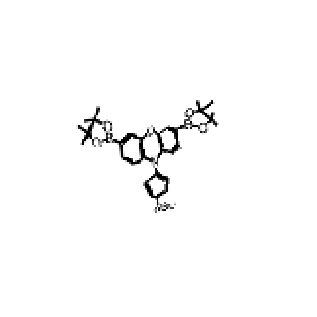 CCCCc1ccc(N2c3ccc(B4OC(C)(C)C(C)(C)O4)cc3Oc3cc(B4OC(C)(C)C(C)(C)O4)ccc32)cc1